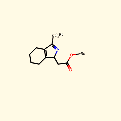 CCOC(=O)C1=NC(CC(=O)OC(C)(C)C)C2=C1CCCC2